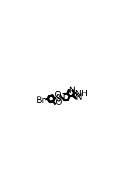 Cc1cc(Br)ccc1S(=O)(=O)N1CCc2c(cnc3[nH]ncc23)C1